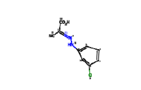 N#C/C(=N\Nc1cccc(Cl)c1)C(=O)O